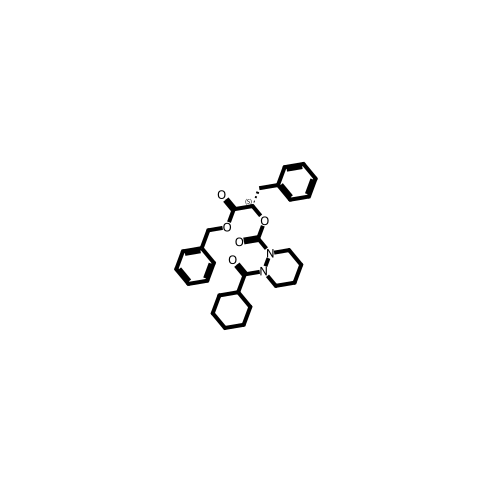 O=C(OCc1ccccc1)[C@H](Cc1ccccc1)OC(=O)N1CCCCN1C(=O)C1CCCCC1